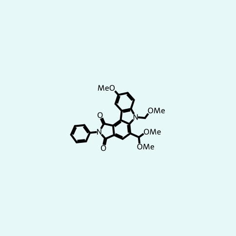 COCn1c2ccc(OC)cc2c2c3c(cc(C(OC)OC)c21)C(=O)N(c1ccccc1)C3=O